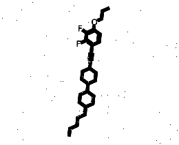 CCCCCC1CCC(C2CCC(C#Cc3ccc(OCCC)c(F)c3F)CC2)CC1